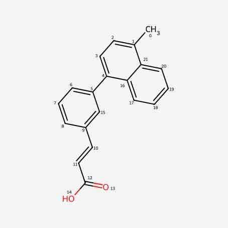 Cc1ccc(-c2cccc(C=CC(=O)O)c2)c2ccccc12